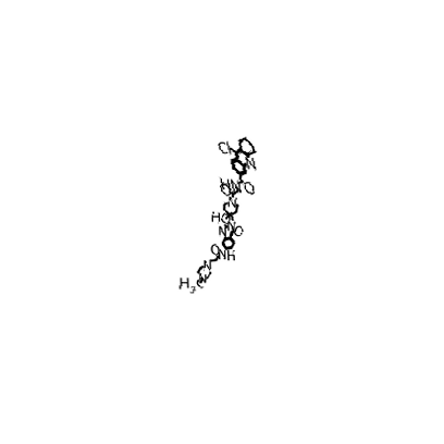 CN1CCN(CCC(=O)Nc2ccc3c(=O)n(CC4(O)CCN(C(=O)CNC(=O)c5ccc6c(Cl)c7c(nc6c5)CCCC7)CC4)cnc3c2)CC1